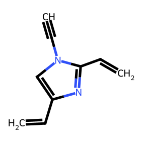 C#Cn1cc(C=C)nc1C=C